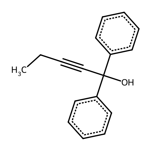 CCC#CC(O)(c1ccccc1)c1ccccc1